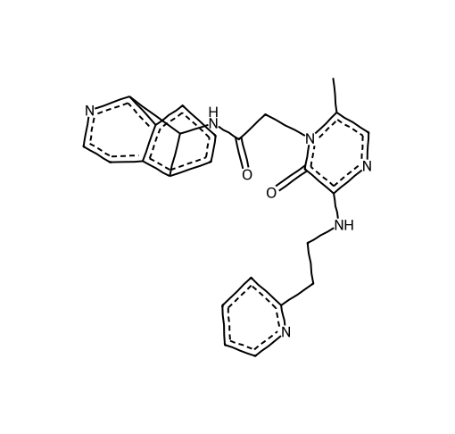 Cc1cnc(NCCc2ccccn2)c(=O)n1CC(=O)NC1c2cccc3c1nccc23